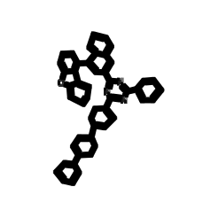 C1=C(C2=CC=C(c3nc(-c4ccccc4)nc(-c4cc(-c5cccc6oc7ccccc7c56)c5ccccc5c4)n3)CC2)CCC(c2ccccc2)=C1